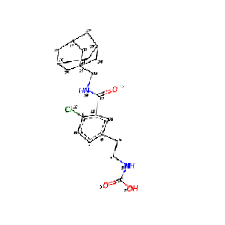 O=C(O)NCCc1ccc(Cl)c(C(=O)NCC23CC4CC(CC(C4)C2)C3)c1